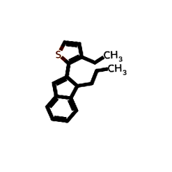 CCC[C]1C(c2sccc2CC)=Cc2ccccc21